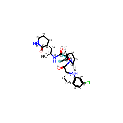 CC(C)C[C@@H](Nc1cccc(Cl)c1)C(=O)N1[C@H]2CC[C@@H]([C@H]1C(=O)N[C@@H](C#N)C[C@H]1CCCNC1=O)C(F)(F)C2